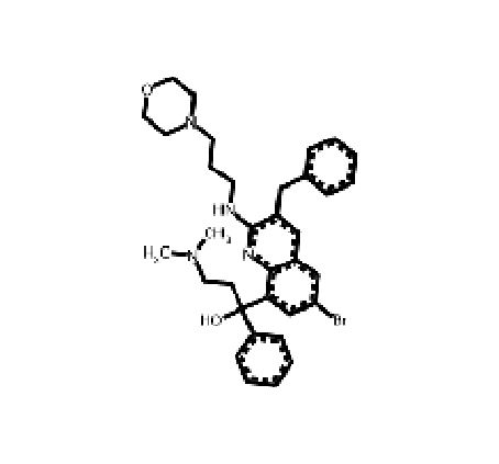 CN(C)CCC(O)(c1ccccc1)c1cc(Br)cc2cc(Cc3ccccc3)c(NCCCN3CCOCC3)nc12